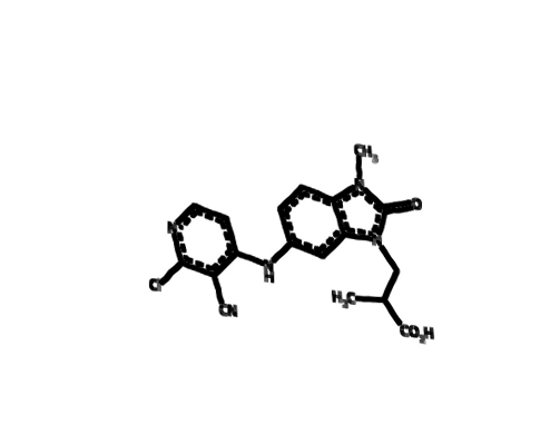 CC(Cn1c(=O)n(C)c2ccc(Nc3ccnc(Cl)c3C#N)cc21)C(=O)O